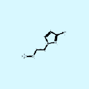 CC(C)c1ccn(CCOC(F)(F)F)n1